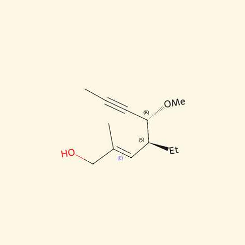 CC#C[C@H](OC)[C@H](/C=C(\C)CO)CC